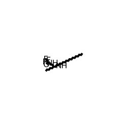 CCCCCCCCCCCCCCCNCCC(CCCCC)CCNC(=O)C(F)(F)F